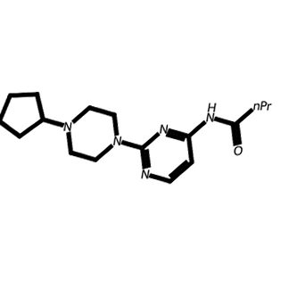 CCCC(=O)Nc1ccnc(N2CCN(C3CCCC3)CC2)n1